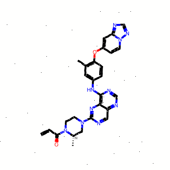 C=CC(=O)N1CCN(c2ncc3ncnc(Nc4ccc(Oc5ccn6ncnc6c5)c(C)c4)c3n2)C[C@@H]1C